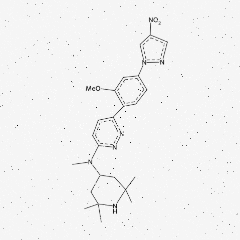 COc1cc(-n2cc([N+](=O)[O-])cn2)ccc1-c1ccc(N(C)C2CC(C)(C)NC(C)(C)C2)nn1